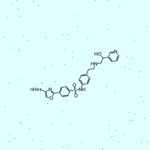 CCCCCCc1coc(-c2ccc(S(=O)(=O)Nc3ccc(CCNCC(O)c4cccnc4)cc3)cc2)n1